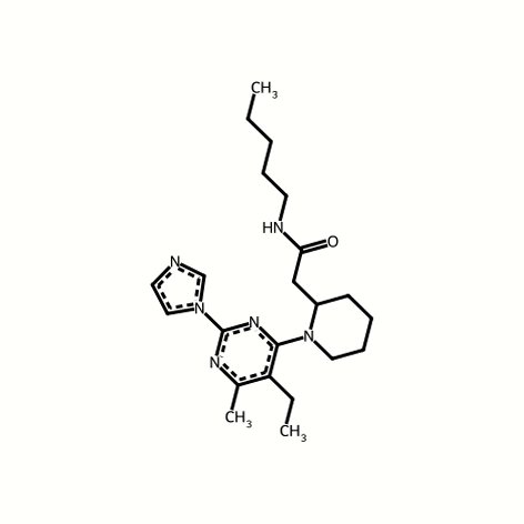 CCCCCNC(=O)CC1CCCCN1c1nc(-n2ccnc2)nc(C)c1CC